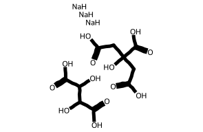 O=C(O)C(O)C(O)C(=O)O.O=C(O)CC(O)(CC(=O)O)C(=O)O.[NaH].[NaH].[NaH]